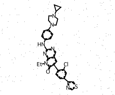 CCn1c(=O)c(-c2ccc(-c3cscn3)cc2Cl)cc2cnc(Nc3ccc(N4CCN(C5CC5)CC4)cc3)nc21